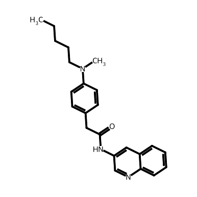 CCCCCN(C)c1ccc(CC(=O)Nc2cnc3ccccc3c2)cc1